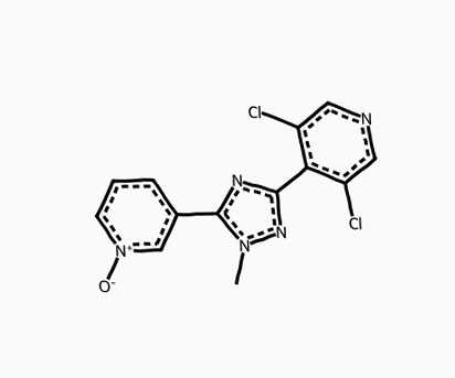 Cn1nc(-c2c(Cl)cncc2Cl)nc1-c1ccc[n+]([O-])c1